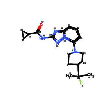 CC(C)(F)C1CCN(c2cccc3nc(NC(=O)C4CC4)nn23)CC1